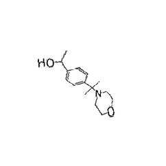 CC(O)c1ccc(C(C)(C)N2CCOCC2)cc1